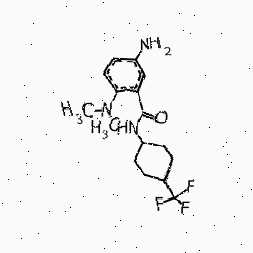 CN(C)c1ccc(N)cc1C(=O)NC1CCC(C(F)(F)F)CC1